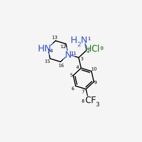 Cl.NCC(c1ccc(C(F)(F)F)cc1)N1CCNCC1